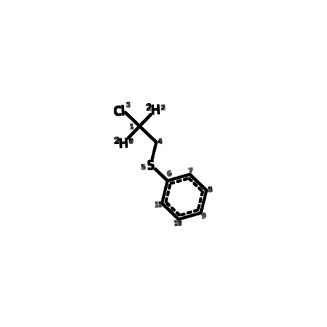 [2H]C([2H])(Cl)CSc1ccccc1